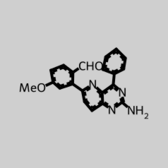 COc1ccc(C=O)c(-c2ccc3nc(N)nc(-c4ccccc4)c3n2)c1